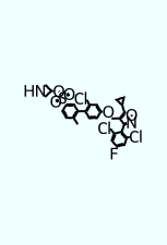 Cc1ccc(S(=O)(=O)OC2CNC2)cc1-c1ccc(OCc2c(-c3c(Cl)cc(F)cc3Cl)noc2C2CC2)cc1Cl